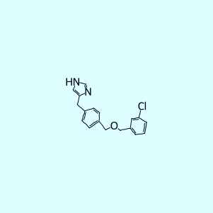 Clc1cccc(COCc2ccc(Cc3c[nH]cn3)cc2)c1